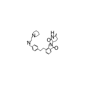 C=C1CCC(N2Cc3c(CCc4ccc(CN(C)CCN5CCCCC5)cc4)cccc3C2=O)C(=O)N1